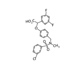 CN(Cc1ccc(OC(C(=O)O)c2cc(F)cc(F)c2)cc1)S(=O)(=O)c1cccc(Cl)c1